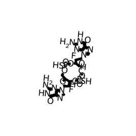 Nc1nc2c(ncn2[C@@H]2OC3CO[P@@](=O)(S)OC4[C@@H](F)[C@H](n5cnc6c(=O)[nH]c(N)nc65)O[C@@H]4CO[P@@](=O)(S)O[C@H]3[C@H]2F)c(=O)[nH]1